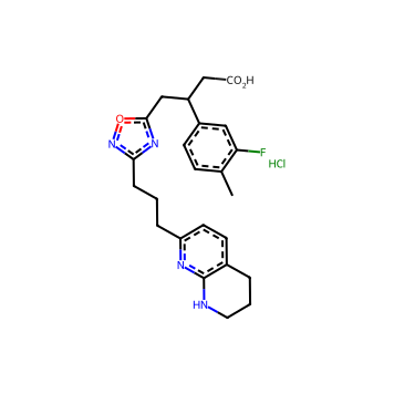 Cc1ccc(C(CC(=O)O)Cc2nc(CCCc3ccc4c(n3)NCCC4)no2)cc1F.Cl